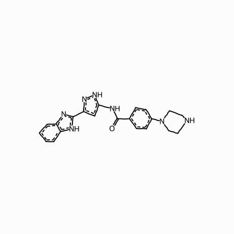 O=C(Nc1cc(-c2nc3ccccc3[nH]2)n[nH]1)c1ccc(N2CCNCC2)cc1